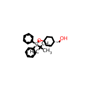 CC(C)(C)[Si](O[C@H]1CC[C@H](CO)CC1)(c1ccccc1)c1ccccc1